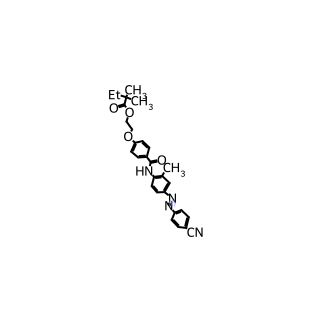 CCC(C)(C)C(=O)OCCOc1ccc(C(=O)Nc2ccc(/N=N/c3ccc(C#N)cc3)cc2C)cc1